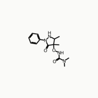 CC1NN(c2ccccc2)C(=O)C1(C)ONC(=O)N(C)C